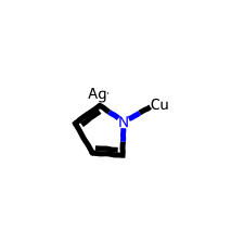 [Ag].[Cu][n]1cccc1